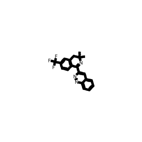 CC1(C)Cc2cc(C(F)(F)F)ccc2C(c2cc3ccccc3nn2)=N1